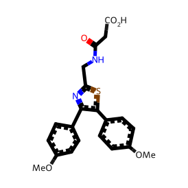 COc1ccc(-c2nc(CNC(=O)CC(=O)O)sc2-c2ccc(OC)cc2)cc1